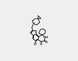 O=C1Nc2c(Cl)cc3cc(CN4CCC5(CC4)CC5)oc3c2C2(CCCCC2)N1